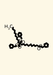 CCCCCCCCCCCC(CCCCCCCCCCC(=O)OCc1ccccc1)(C(=O)OCc1ccccc1)C(=O)OCc1ccccc1